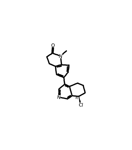 CN1C(=O)CCc2cc(-c3cncc4c3CCC[C@H]4Cl)ccc21